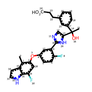 Cc1c(Oc2ccc(F)c(-c3ncc(C(C)(O)c4cccc(CCC(=O)O)c4)[nH]3)c2)cc(F)c2[nH]ccc12